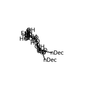 CCCCCCCCCCCCCCCCCC(=O)OC[C@H](COP(C)(=O)OCCNC(=O)OCCNC(=O)CCN1C(=O)CC(SCC(=O)N[C@@H](CSOOO)C(=O)N[C@@H](CSOOO)C(=O)NCC)C1=O)OC(=O)CCCCCCCCCCCCCCCCC